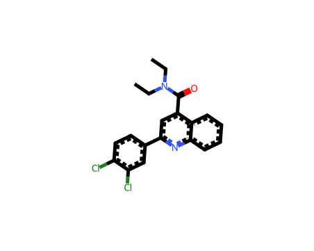 CCN(CC)C(=O)c1cc(-c2ccc(Cl)c(Cl)c2)nc2ccccc12